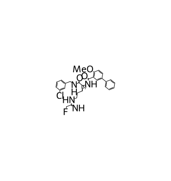 COc1ccc(-c2ccccc2)cc1C(=O)N[C@@H](CCCNC(=N)CF)C(=O)NCc1cccc(Cl)c1